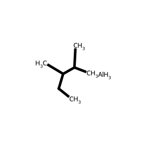 CCC(C)C(C)C.[AlH3]